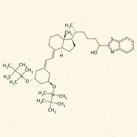 C[C@H](CCCC(O)c1nc2ccccc2s1)[C@H]1CC[C@H]2/C(=C/C=C3C[C@@H](O[Si](C)(C)C(C)(C)C)C[C@H](O[Si](C)(C)C(C)(C)C)C3)CCC[C@]12C